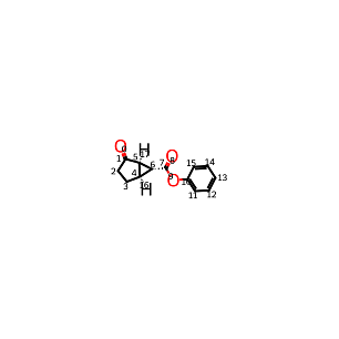 O=C1CC[C@H]2[C@@H]1[C@@H]2C(=O)Oc1ccccc1